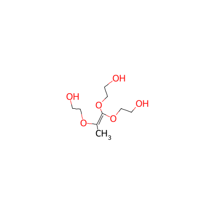 CC(OCCO)=C(OCCO)OCCO